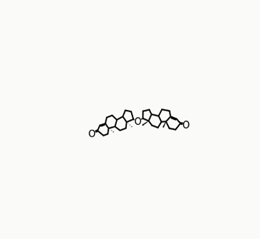 C[C@]12CCC(=O)C=C1CCC1C2CC[C@@]2(C)C1CC[C@@H]2O[C@H]1CCC2C3CCC4=CC(=O)CC[C@]4(C)C3CC[C@@]21C